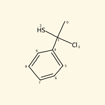 CC(S)(Cl)c1ccccc1